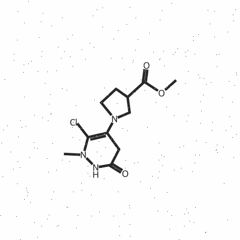 COC(=O)C1CCN(C2=C(Cl)N(C)NC(=O)C2)C1